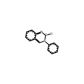 Cl[C@@H]1N=c2ccccc2=CN1c1ccccc1